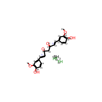 B.COc1cc(/C=C/C(=O)CC(=O)/C=C/c2ccc(O)c(OC)c2)ccc1O.F.F